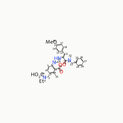 CCN(Cc1ccc2nc(N[C@@H](Cc3ccc(OC)cc3)C(=O)N(C)Cc3ccccc3)oc(=O)c2c1C)C(=O)O